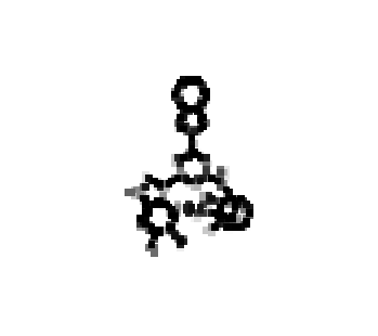 O=C(O)[C@H]1C2CCC(CC2)[C@@H]1Nc1cc(-c2cc3ccccc3s2)nc(-c2n[nH]c3nc(Cl)c(F)cc23)n1